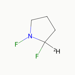 [2H]C1(F)CCCN1F